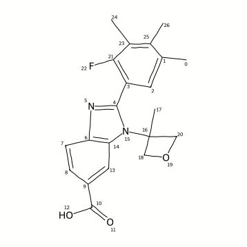 Cc1cc(-c2nc3ccc(C(=O)O)cc3n2C2(C)COC2)c(F)c(C)c1C